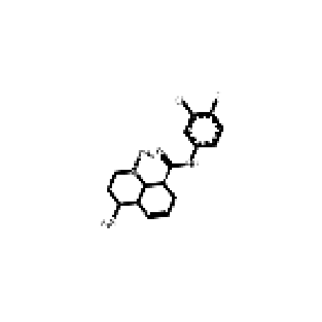 CN1CCC(N)C2C=CC[C@H](C(=O)Nc3ccc(F)c(Cl)c3)C21